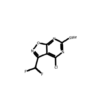 CSc1nc(Cl)c2c(C(F)F)noc2n1